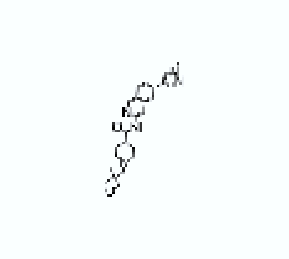 Cn1cc(-c2ccc3cnc(NC(=O)C4CCN(CC5(C)COC5)CC4)cc3c2)cn1